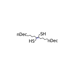 CCCCCCCCCCCCCC/C(CS)=C(\CS)CCCCCCCCCCCCCC